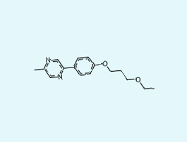 CCOCCCOc1ccc(-c2cnc(C)cn2)cc1